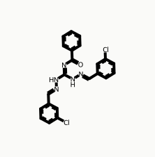 O=C(N=C(N/N=C/c1cccc(Cl)c1)N/N=C/c1cccc(Cl)c1)c1ccccc1